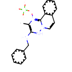 CC1=C(NCc2ccccc2)NN2C=Cc3ccccc3C2=[N+]1O[Cl+3]([O-])([O-])[O-]